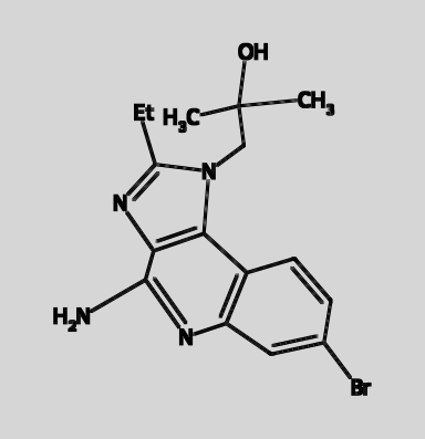 CCc1nc2c(N)nc3cc(Br)ccc3c2n1CC(C)(C)O